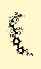 CCCOc1cncc(-c2ccc(NC(=O)C(C)(C)c3csc(NS(=O)(=O)C(C)CC)n3)cc2)c1